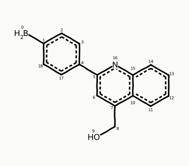 Bc1ccc(-c2cc(CO)c3ccccc3n2)cc1